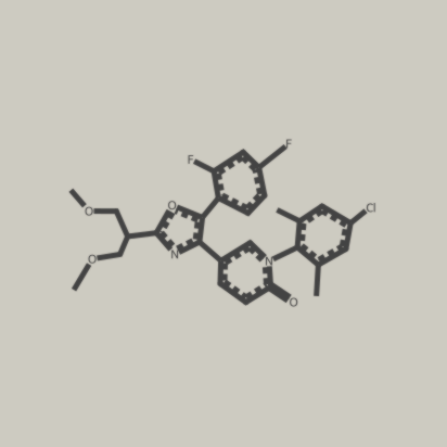 COCC(COC)c1nc(-c2ccc(=O)n(-c3c(C)cc(Cl)cc3C)c2)c(-c2ccc(F)cc2F)o1